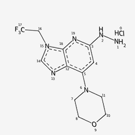 Cl.NNc1cc(N2CCOCC2)c2ncn(CC(F)(F)F)c2n1